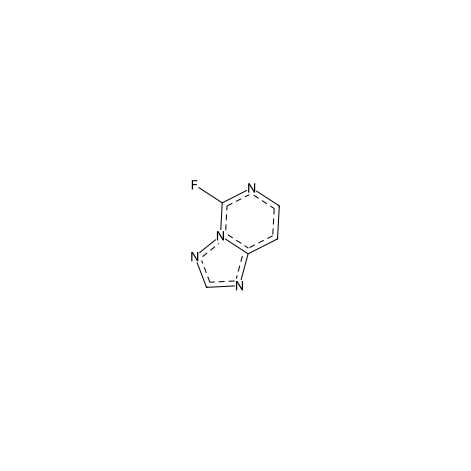 Fc1nccc2ncnn12